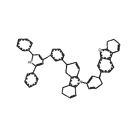 C1=Cc2c(oc3cc(C4C=C(n5c6c(c7c5C=CC(c5cccc(C8=CC(c9ccccc9)NC(c9ccccc9)=C8)c5)C7)CCC=C6)C=CC4)ccc23)CC1